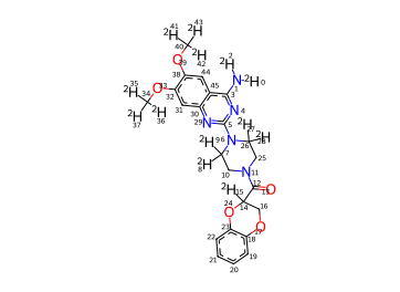 [2H]N([2H])c1nc(N2C([2H])([2H])CN(C(=O)C3([2H])COc4ccccc4O3)CC2([2H])[2H])nc2cc(OC([2H])([2H])[2H])c(OC([2H])([2H])[2H])cc12